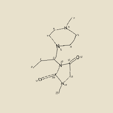 CCC(N1CCN(C)CC1)N1C(=O)CN(C)C1=O